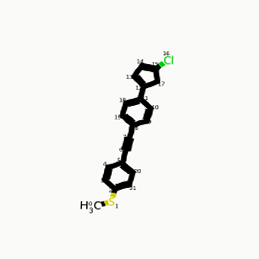 CSc1ccc(C#Cc2ccc(C3=CC=C(Cl)C3)cc2)cc1